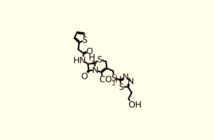 O=C(Cc1cccs1)NC1C(=O)N2C(C(=O)O)=C(CSc3nnc(CCO)s3)CS[C@H]12